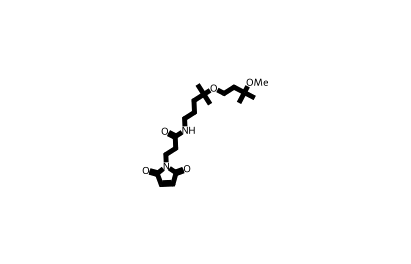 COC(C)(C)CCOC(C)(C)CCCNC(=O)CCN1C(=O)C=CC1=O